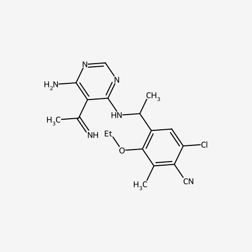 CCOc1c(C(C)Nc2ncnc(N)c2C(C)=N)cc(Cl)c(C#N)c1C